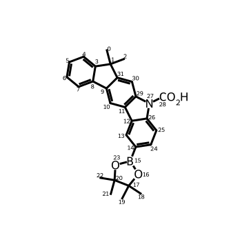 CC1(C)c2ccccc2-c2cc3c4cc(B5OC(C)(C)C(C)(C)O5)ccc4n(C(=O)O)c3cc21